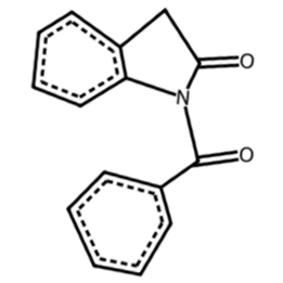 O=C1Cc2ccccc2N1C(=O)c1ccccc1